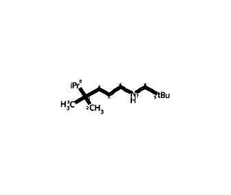 CC(C)C(C)(C)CCCNCC(C)(C)C